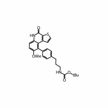 COc1ccc2[nH]c(=O)c3sccc3c2c1-c1ccc(CCCNC(=O)OC(C)(C)C)cc1